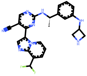 C[C@H](Nc1ncc(C#N)c(-c2cnc3c(C(F)F)cccn23)n1)c1cccc(NC2CNC2)c1